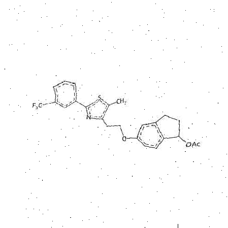 CC(=O)OC1CCc2cc(OCCc3nc(-c4cccc(C(F)(F)F)c4)sc3C)ccc21